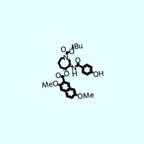 COc1ccc2cc(OC)c(C(=O)O[C@@H]3CCCN(C(=O)OC(C)(C)C)C[C@H]3NC(=O)c3ccc(O)cc3)cc2c1